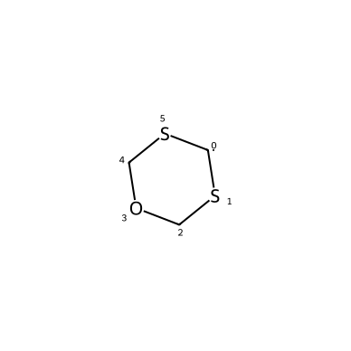 [CH]1SCOCS1